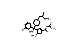 CCC[C@@](c1cccc(F)c1)(C1CCN(CC(CC)CC(C)CC)CC1)C1C=C(C(C)/N=C(\C)CC)C[C@@H]1OC